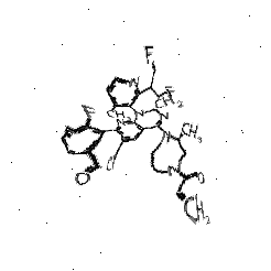 C=CC(=O)N1CCN(C2=NC(=C)N(c3c(C)ccnc3C(CF)CF)c3nc(-c4c(F)cccc4C=O)c(Cl)cc32)[C@@H](C)C1